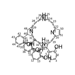 Oc1ccccc1-c1c(-c2ccccc2O)c2[nH]c1cc1nc(cc3ccc(cc4nc(c2-c2ccccc2O)C(c2ccccc2O)C4)[nH]3)C=C1